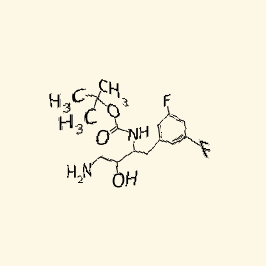 CC(C)(C)OC(=O)NC(Cc1cc(F)cc(F)c1)C(O)CN